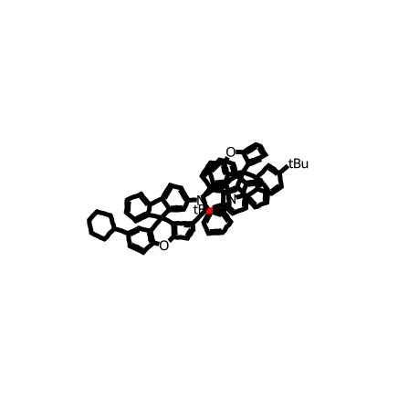 CC(C)(C)c1ccc2c(c1)C1(c3ccccc3Oc3ccc(N(c4ccc5c(c4)C4(c6cc(C7CCCCC7)ccc6Oc6ccc(C7CCCCC7)cc64)c4ccccc4-5)c4ccccc4-n4c5ccccc5c5ccccc54)cc31)c1cc(C(C)(C)C)ccc1-2